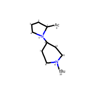 CC(=O)C1CCCN1C1CCN(C(C)(C)C)CC1